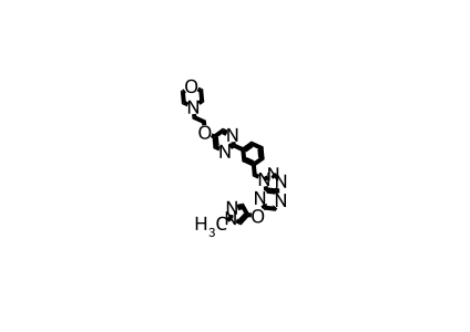 Cn1cc(Oc2cnc3nnn(Cc4cccc(-c5ncc(OCCN6CCOCC6)cn5)c4)c3n2)cn1